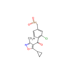 O=C(O)c1noc(C2CC2)c1C(=O)c1ccc(C[SH](=O)=O)cc1Cl